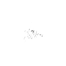 CCCCNC(=O)n1c(N(N)C(=O)OC#N)nc2c1C=CCC2